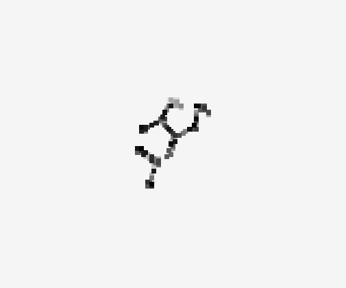 CS/C(=C/[N+](=O)[O-])[S+](C)[O-]